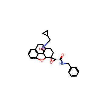 O=C(NCc1ccccc1)[C@@H]1OC12CCC1(O)C3Cc4cccc5c4C1(CCN3CC1CC1)C2O5